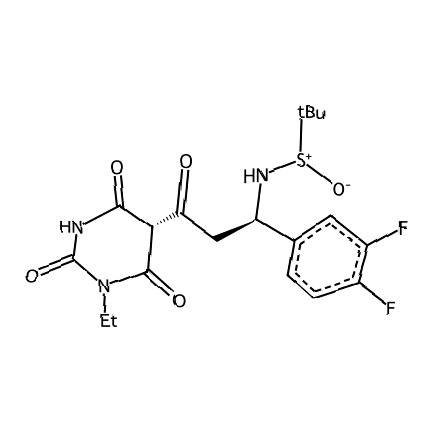 CCN1C(=O)NC(=O)[C@H](C(=O)C[C@@H](N[S+]([O-])C(C)(C)C)c2ccc(F)c(F)c2)C1=O